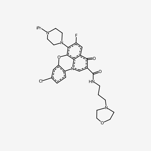 CC(C)N1CCN(c2c(F)cc3c(=O)c(C(=O)NCCCN4CCOCC4)cn4c3c2Oc2cc(Cl)ccc2-4)CC1